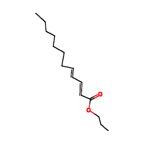 CCCCCCCC=CC=CC(=O)OCCC